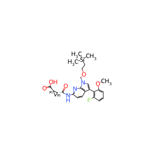 COc1cccc(F)c1-c1cn(COCC[Si](C)(C)C)c2nc(NC(=O)[C@@H]3C[C@H]3C(=O)O)ccc12